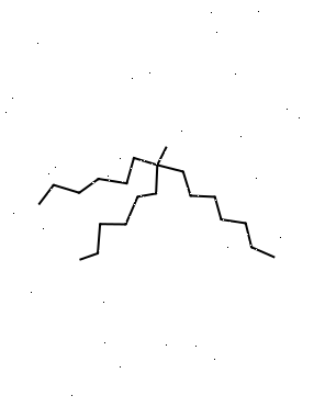 CCCCCCCC(C)(CCCCCC)CCCCCC